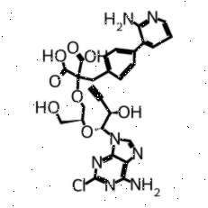 C#C[C@@H](O)[C@@H](O[C@@H](CO)COC(Cc1ccc(-c2cccnc2N)cc1)(C(=O)O)C(=O)O)n1cnc2c(N)nc(Cl)nc21